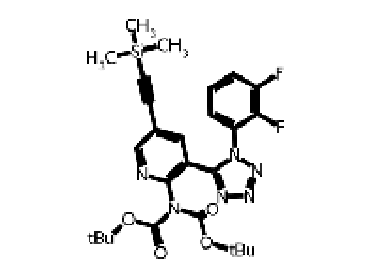 CC(C)(C)OC(=O)N(C(=O)OC(C)(C)C)c1ncc(C#C[Si](C)(C)C)cc1-c1nnnn1-c1cccc(F)c1F